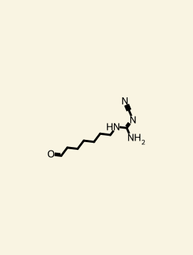 N#CN=C(N)NCCCCCCC=O